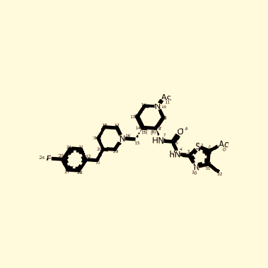 CC(=O)c1sc(NC(=O)N[C@H]2CN(C(C)=O)CC[C@H]2CN2CCCC(Cc3ccc(F)cc3)C2)nc1C